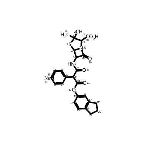 CC1(C)SC2C(NC(=O)C(C(=O)Oc3ccc4c(c3)CCC4)c3ccccc3)C(=O)N2C1C(=O)O.[NaH]